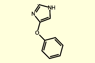 [c]1nc(Oc2ccccc2)c[nH]1